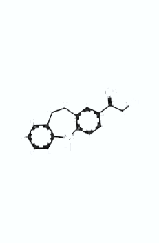 O=C(CCl)c1ccc2c(c1)CCc1ccccc1N2